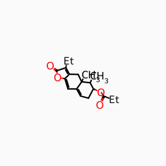 CCC(=O)OC1CC=C2C=C3OC(=O)C(CC)=C3CC2(C)C1C